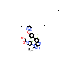 CC1Nc2cnc3cc(F)c(-c4ccc(Oc5ncccn5)cc4Cl)cc3c2N1C1=C(F)CN(C(=O)CO)CC1